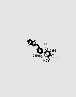 COc1ccc(Cc2cc3sccc3s2)cc1[C@@H]1O[C@H](CO)[C@@H](O)C(O)[C@H]1O